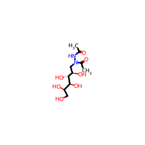 CC(=O)NN(C[C@@H](O)[C@@H](O)[C@@H](O)[C@H](O)CO)C(C)=O